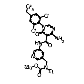 CCN(Cc1cncc(NC(=O)c2c(N)ncn(-c3c(Cl)cc(CC(F)(F)F)cc3Cl)c2=O)c1)C(=O)OC(C)(C)C